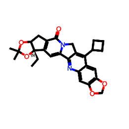 CC[C@@]12OC(C)(C)OC1Cc1c2cc2n(c1=O)Cc1c-2nc2cc3c(cc2c1C1CCC1)OCO3